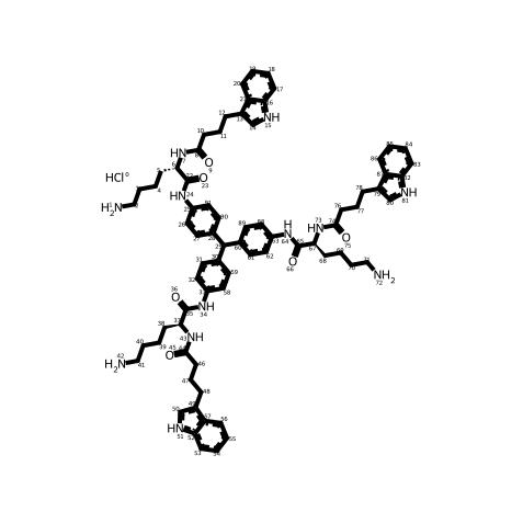 Cl.NCCCC[C@H](NC(=O)CCCc1c[nH]c2ccccc12)C(=O)Nc1ccc(C(c2ccc(NC(=O)[C@H](CCCCN)NC(=O)CCCc3c[nH]c4ccccc34)cc2)c2ccc(NC(=O)[C@H](CCCCN)NC(=O)CCCc3c[nH]c4ccccc34)cc2)cc1